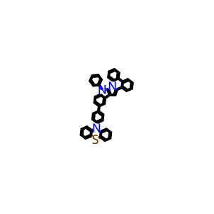 c1ccc(-n2c3ccc(-c4ccc(N5c6ccccc6Sc6ccccc65)cc4)cc3c3cc4c5ccccc5c5ccccc5n4c32)cc1